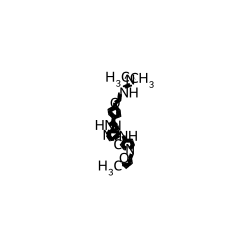 Cc1ccc(CN2CCC(Nc3c(Cl)cnc4[nH]c(-c5ccc(OCCNCCN(C)C)cc5)nc34)CC2)o1